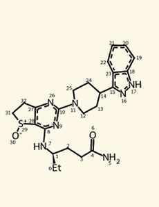 CC[C@H](CCC(N)=O)Nc1nc(N2CCC(c3n[nH]c4ccccc34)CC2)nc2c1[S+]([O-])CC2